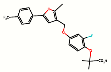 Cc1oc(-c2ccc(C(F)(F)F)cc2)cc1COc1ccc(OC(C)(C)C(=O)O)c(F)c1